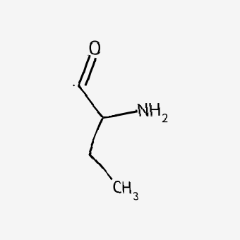 CCC(N)[C]=O